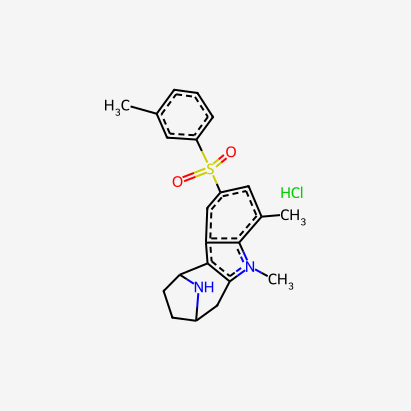 Cc1cccc(S(=O)(=O)c2cc(C)c3c(c2)c2c(n3C)CC3CCC2N3)c1.Cl